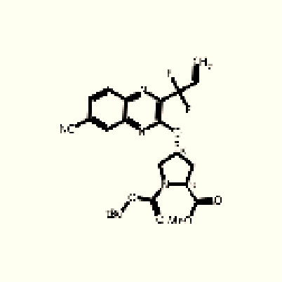 C=CC(F)(F)c1nc2ccc(C#N)cc2nc1O[C@@H]1C[C@@H](C(=O)OC)N(C(=O)OC(C)(C)C)C1